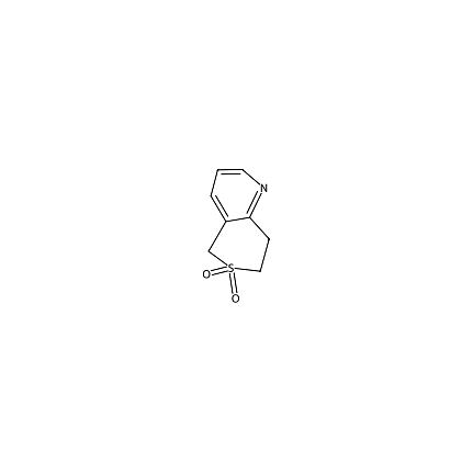 O=S1(=O)CCc2ncccc2C1